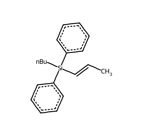 CC=C[Si](CCCC)(c1ccccc1)c1ccccc1